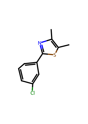 Cc1nc(-c2cccc(Cl)c2)sc1C